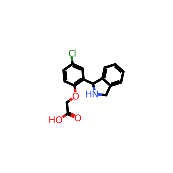 O=C(O)COc1ccc(Cl)cc1C1NCc2ccccc21